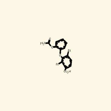 CCc1ccc(C(=O)O)c(CC)c1Oc1ccccc1OC(N)=O